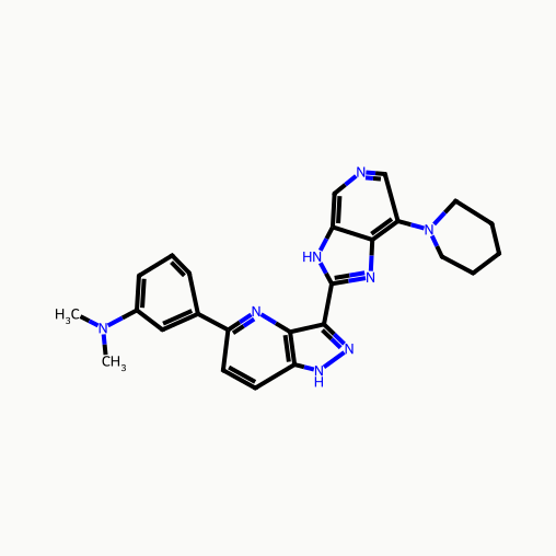 CN(C)c1cccc(-c2ccc3[nH]nc(-c4nc5c(N6CCCCC6)cncc5[nH]4)c3n2)c1